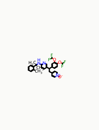 Cc1ccccc1C(C)(C)Nc1ccc(C(Cc2cc[n+]([O-])cc2)c2ccc(OC(F)F)c(OC(F)F)c2)cn1